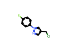 Fc1ccc(-n2cc(CCl)cn2)cc1